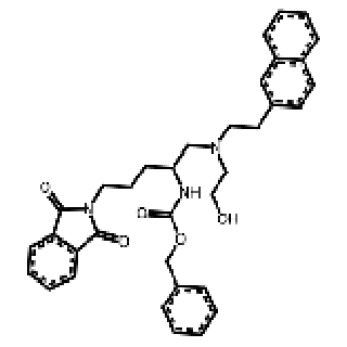 O=C(NC(CCCN1C(=O)c2ccccc2C1=O)CN(CCO)CCc1ccc2ccccc2c1)OCc1ccccc1